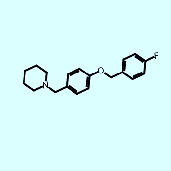 Fc1ccc(COc2ccc(CN3CCCCC3)cc2)cc1